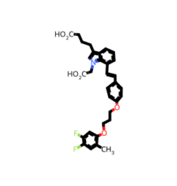 Cc1cc(F)c(F)cc1OCCCOc1ccc(C=Cc2cccc3c(CCCC(=O)O)cn(CC(=O)O)c23)cc1